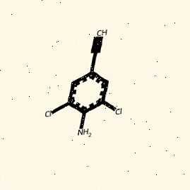 C#Cc1cc(Cl)c(N)c(Cl)c1